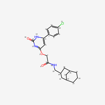 O=C(COc1cc(-c2ccc(Cl)cc2)[nH]c(=O)n1)NCC1CC2CCCC(C2)C1